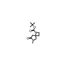 CN1CC2(CCN2C(=O)OC(C)(C)C)CC1=O